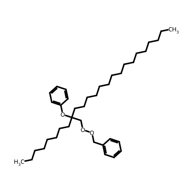 CCCCCCCCCCCCCCCCC(CCCCCCCC)(COOCc1ccccc1)Oc1ccccc1